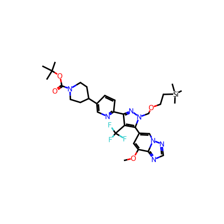 COc1cc(-c2c(C(F)(F)F)c(-c3ccc(C4CCN(C(=O)OC(C)(C)C)CC4)cn3)nn2COCC[Si](C)(C)C)cn2ncnc12